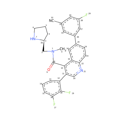 CN(C[C@@H]1CCCN1)C(=O)c1c(-c2cccc(F)c2F)cnc2ccc(-c3cc(F)cc(C#N)c3)cc12